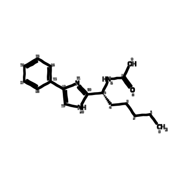 CCCCC[C@@H](NC(=O)O)c1nc(-c2ccccc2)c[nH]1